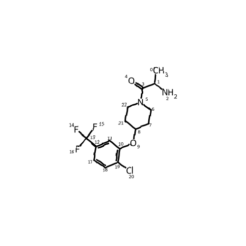 CC(N)C(=O)N1CCC(Oc2cc(C(F)(F)F)ccc2Cl)CC1